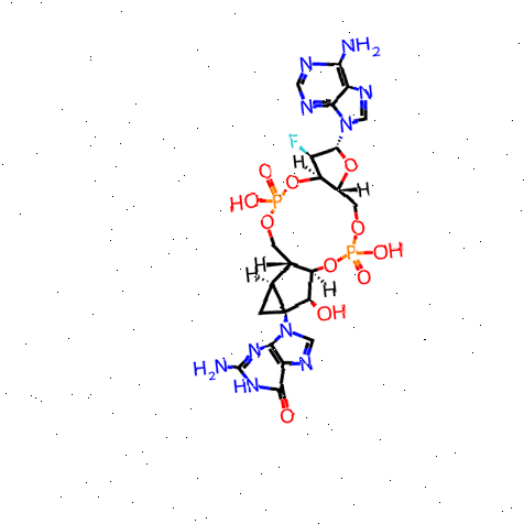 Nc1nc2c(ncn2[C@@]23C[C@H]2[C@@H]2COP(=O)(O)O[C@H]4[C@@H](F)[C@H](n5cnc6c(N)ncnc65)O[C@@H]4COP(=O)(O)O[C@H]2[C@H]3O)c(=O)[nH]1